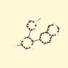 Cn1ccc(-c2nc(N)cnc2-c2ccc3ncncc3c2)n1